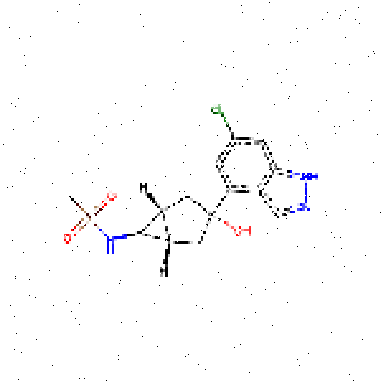 CS(=O)(=O)N[C@H]1[C@@H]2C[C@@](O)(c3cc(Cl)cc4[nH]ncc34)C[C@@H]21